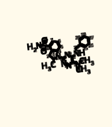 CC1Cc2c(cccc2S(N)(=O)=O)N1c1nnc(N(C)C)c(NCc2ccccc2)n1